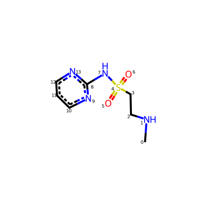 CNCCS(=O)(=O)Nc1ncccn1